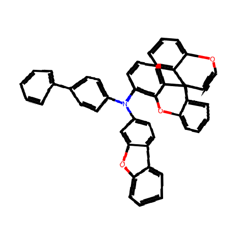 c1ccc(-c2ccc(N(c3ccc4c(c3)oc3ccccc34)c3cccc4c3Oc3ccccc3C43c4ccccc4Oc4ccccc43)cc2)cc1